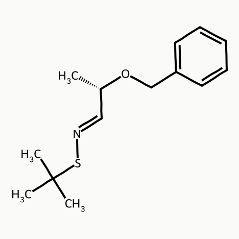 C[C@@H](/C=N/SC(C)(C)C)OCc1ccccc1